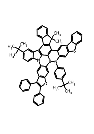 CC(C)(C)c1ccc(N2B3c4cc5oc(-c6ccccc6)c(-c6ccccc6)c5cc4-n4c5ccc(C(C)(C)C)cc5c5c6c(c(c3c54)-c3cc4c(cc32)sc2ccccc24)C(C)(C)c2ccccc2-6)cc1